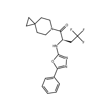 O=C([C@@H](CC(F)(F)F)Nc1nnc(-c2ccccc2)o1)N1CCC2(CC1)CC2